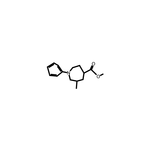 COC(=O)C1CCN(c2ccccc2)CC(C)C1